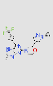 Cc1cnc2c(C3CC(C(F)(F)F)C3)nc(N3CCOC(c4cnn(C5CC5)c4)C3)nc2n1